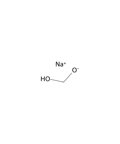 [Na+].[O-]CO